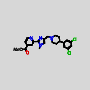 COC(=O)c1ccnc(-c2nc(CN3CCC(c4cc(Cl)cc(Cl)c4)CC3)cn2C)c1